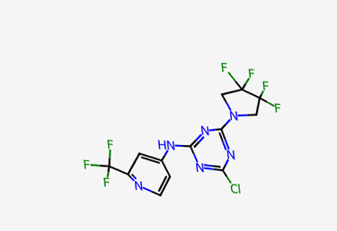 FC(F)(F)c1cc(Nc2nc(Cl)nc(N3CC(F)(F)C(F)(F)C3)n2)ccn1